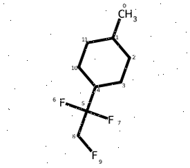 CC1CCC(C(F)(F)CF)CC1